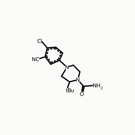 CC(C)(C)C1CN(c2ccc(Cl)c(C#N)c2)CCN1C(N)=O